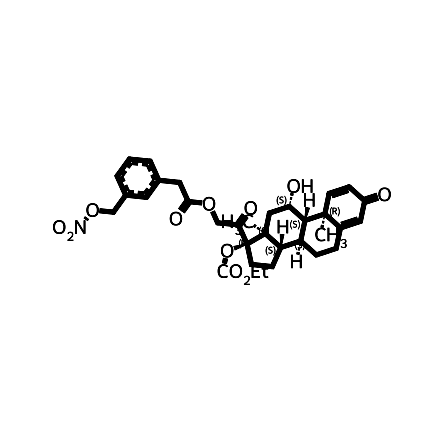 CCOC(=O)O[C@]1(C(=O)COC(=O)Cc2cccc(CO[N+](=O)[O-])c2)CC[C@H]2[C@@H]3CCC4=CC(=O)C=C[C@]4(C)[C@H]3[C@@H](O)C[C@@]21C